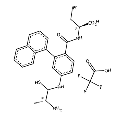 CC(C)C[C@H](NC(=O)c1ccc(NC(S)[C@@H](C)N)cc1-c1cccc2ccccc12)C(=O)O.O=C(O)C(F)(F)F